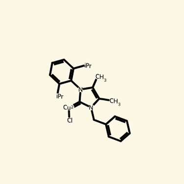 Cc1c(C)n(-c2c(C(C)C)cccc2C(C)C)[c](=[Cu-2][Cl])n1Cc1ccccc1